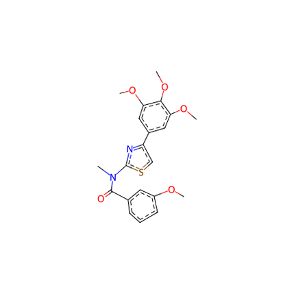 COc1cccc(C(=O)N(C)c2nc(-c3cc(OC)c(OC)c(OC)c3)cs2)c1